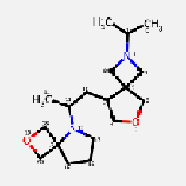 CC(C)N1CC2(COCC2CC(C)N2CCCC23COC3)C1